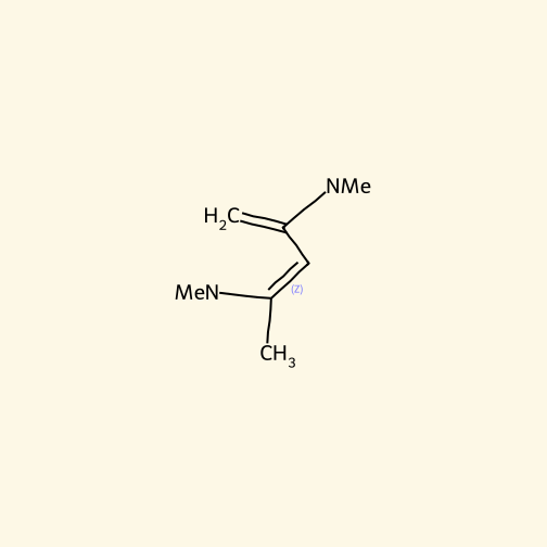 C=C(/C=C(/C)NC)NC